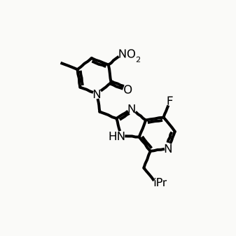 Cc1cc([N+](=O)[O-])c(=O)n(Cc2nc3c(F)cnc(CC(C)C)c3[nH]2)c1